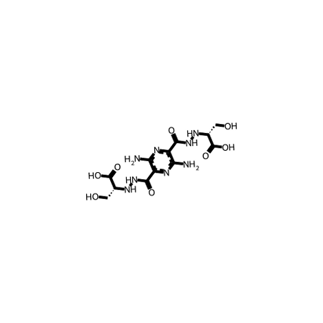 Nc1nc(C(=O)NN[C@H](CO)C(=O)O)c(N)nc1C(=O)NN[C@H](CO)C(=O)O